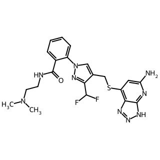 CN(C)CCNC(=O)c1ccccc1-n1cc(CSc2cc(N)nc3[nH]nnc23)c(C(F)F)n1